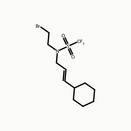 O=S(=O)(N(C/C=C/C1CCCCC1)CCBr)C(F)(F)F